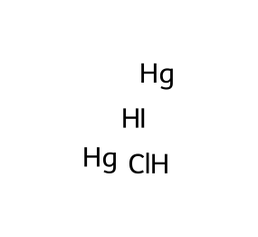 Cl.I.[Hg].[Hg]